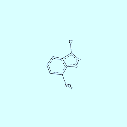 O=[N+]([O-])c1cccc2c(Cl)[c]sc12